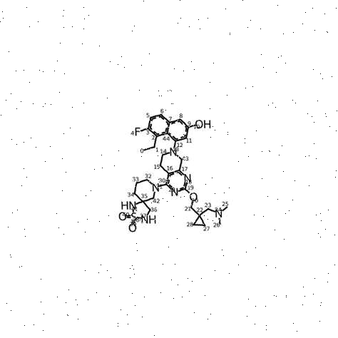 CCc1c(F)ccc2cc(O)cc(N3CCc4c(nc(OCC5(CN(C)C)CC5)nc4N4CCCC5(CNS(=O)(=O)N5)C4)C3)c12